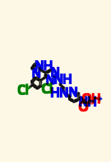 [O-][NH+](O)c1ccc(NCCNc2ncc(-c3ncc[nH]3)c(-c3ccc(Cl)cc3Cl)n2)nc1